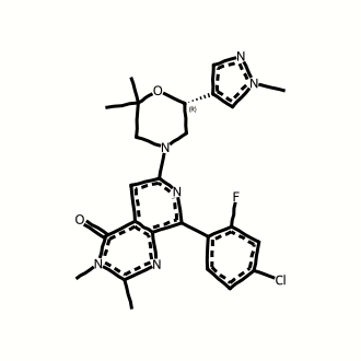 Cc1nc2c(-c3ccc(Cl)cc3F)nc(N3C[C@@H](c4cnn(C)c4)OC(C)(C)C3)cc2c(=O)n1C